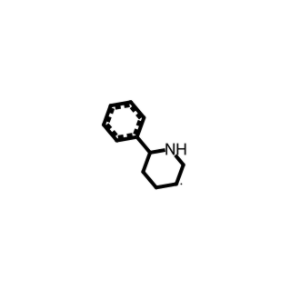 [CH]1CCC(c2ccccc2)NC1